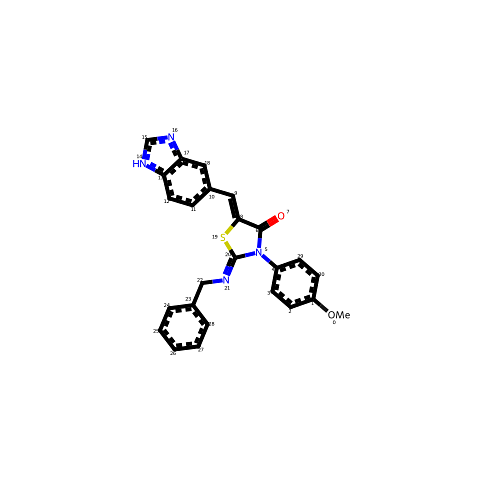 COc1ccc(N2C(=O)/C(=C/c3ccc4[nH]cnc4c3)S/C2=N\Cc2ccccc2)cc1